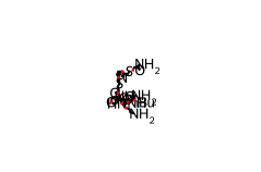 CC[C@H](C)[C@H](NC(=O)[C@H](CCCN)NC(=O)C1(NC(=O)CCSCc2cccc(CSCCC(N)=O)n2)CCOCC1)C(N)=O